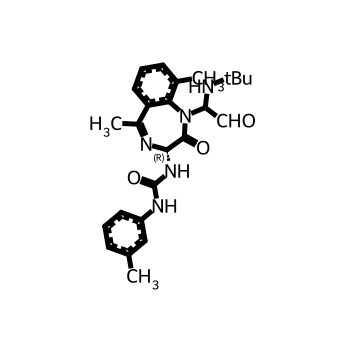 CC1=N[C@@H](NC(=O)Nc2cccc(C)c2)C(=O)N(C(C=O)NC(C)(C)C)c2c(C)cccc21